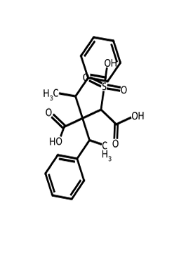 CC(c1ccccc1)C(C(=O)O)(C(C)c1ccccc1)C(C(=O)O)S(=O)(=O)O